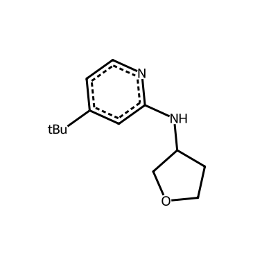 CC(C)(C)c1ccnc(NC2CCOC2)c1